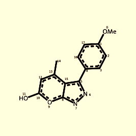 COc1ccc(-c2nnc3oc(O)cc(C)c2-3)cc1